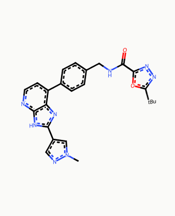 Cn1cc(-c2nc3c(-c4ccc(CNC(=O)c5nnc(C(C)(C)C)o5)cc4)ccnc3[nH]2)cn1